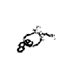 COC(=O)[C@@H]1C/C=C/COc2ccc3ccccc3c2-c2c(ccc3ccccc23)OCCCC(=O)N[C@H](CCCCN)C(=O)N1